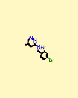 Cc1cnnc(NCc2ccc(Br)cc2F)c1